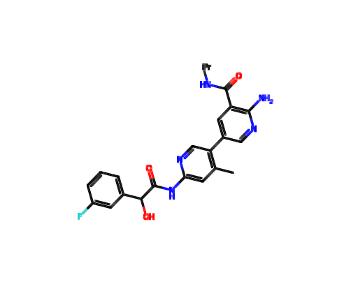 Cc1cc(NC(=O)C(O)c2cccc(F)c2)ncc1-c1cnc(N)c(C(=O)NC(C)C)c1